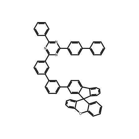 c1ccc(-c2ccc(-c3nc(-c4ccccc4)nc(-c4cccc(-c5cccc(-c6ccc7c(c6)C6(c8ccccc8Oc8ccccc86)c6ccccc6-7)c5)c4)n3)cc2)cc1